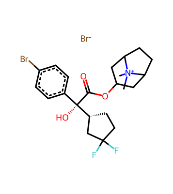 C[N+]1(C)C2CCC1CC(OC(=O)[C@](O)(c1ccc(Br)cc1)[C@@H]1CCC(F)(F)C1)C2.[Br-]